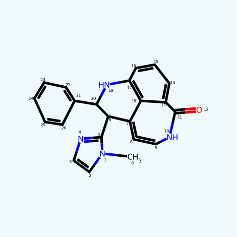 Cn1ccnc1C1C2=C=CNC(=O)c3cccc(c32)NC1c1ccccc1